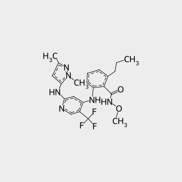 CCCc1cccc(Nc2cc(Nc3cc(C)nn3C)ncc2C(F)(F)F)c1C(=O)NOC